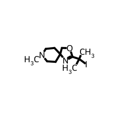 CN1CCC2(CC1)COC(C(C)(C)I)=N2